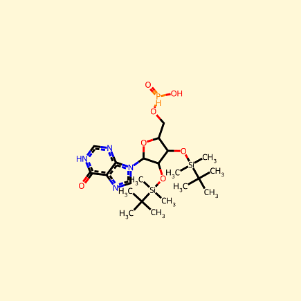 CC(C)(C)[Si](C)(C)OC1C(CO[PH](=O)O)OC(n2cnc3c(=O)[nH]cnc32)C1O[Si](C)(C)C(C)(C)C